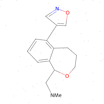 CNCC1OCCCc2c(-c3cnoc3)cccc21